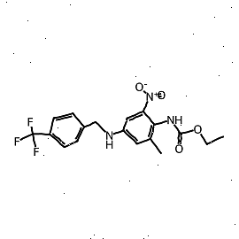 CCOC(=O)Nc1c(C)cc(NCc2ccc(C(F)(F)F)cc2)cc1[N+](=O)[O-]